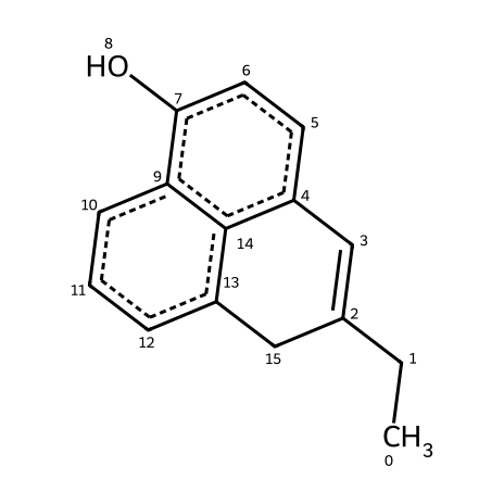 CCC1=Cc2ccc(O)c3cccc(c23)C1